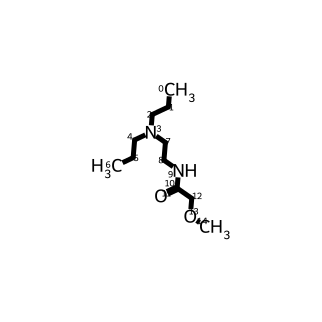 CCCN(CCC)CCNC(=O)COC